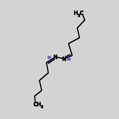 CCCCC/C=N\N=C/CCCCC